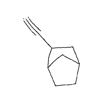 [C]#CC1CC2CCC1C2